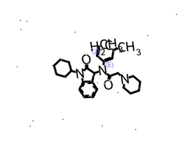 C=C(C)/C=C(\C=C/C)N(C(=O)CN1CCCCC1)C1C(=O)N(C2CCCCC2)c2ccccc21